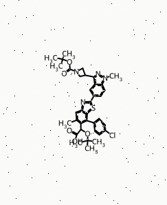 Cc1cc2nc(-c3ccc4c(c3)c(C3CN(C(=O)OC(C)(C)C)C3)nn4C)sc2c(-c2ccc(Cl)cc2)c1C(OC(C)(C)C)C(=O)O